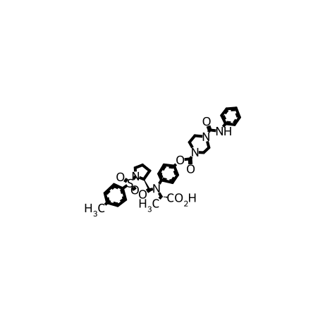 Cc1ccc(S(=O)(=O)N2CCC[C@H]2C(=O)N(c2ccc(OC(=O)N3CCN(C(=O)Nc4ccccc4)CC3)cc2)[C@@H](C)C(=O)O)cc1